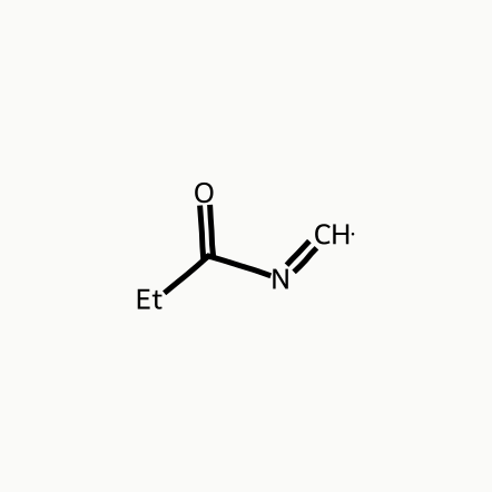 [CH]=NC(=O)CC